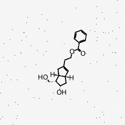 O=C(OCCC1=C[C@@H]2C[C@H](O)[C@H](CO)[C@@H]2C1)c1ccccc1